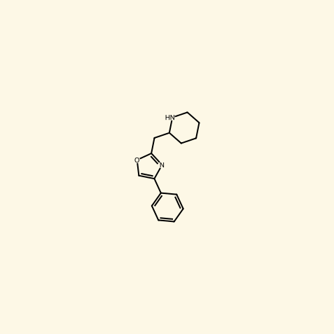 c1ccc(-c2coc(CC3CCCCN3)n2)cc1